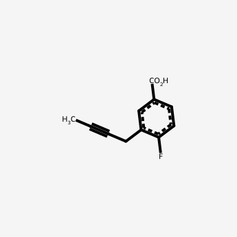 CC#CCc1cc(C(=O)O)ccc1F